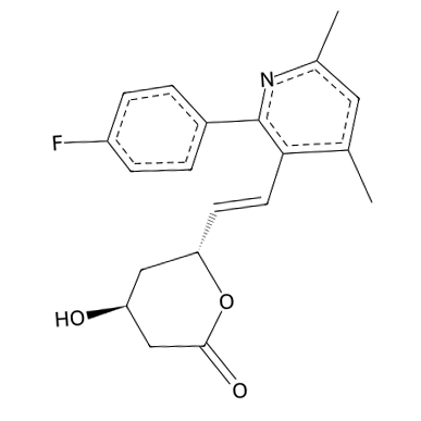 Cc1cc(C)c(/C=C/[C@H]2C[C@H](O)CC(=O)O2)c(-c2ccc(F)cc2)n1